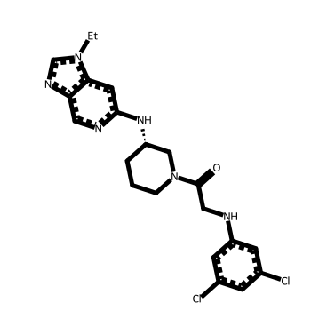 CCn1cnc2cnc(N[C@H]3CCCN(C(=O)CNc4cc(Cl)cc(Cl)c4)C3)cc21